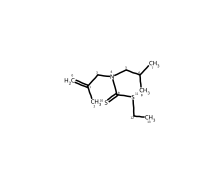 C=C(C)CN(CC(C)C)C(=S)SCC